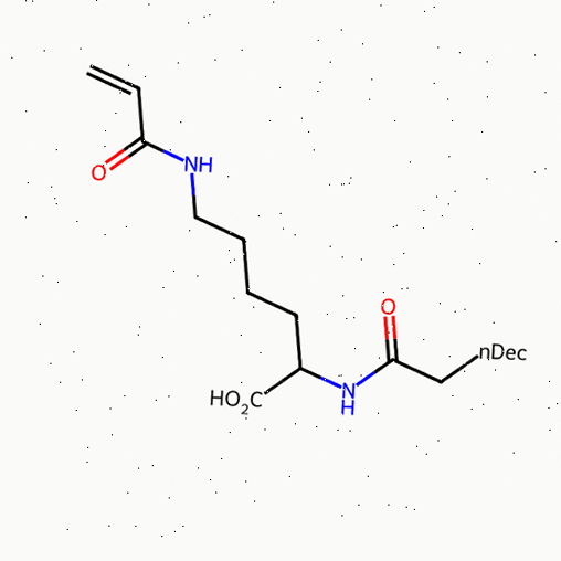 C=CC(=O)NCCCCC(NC(=O)CCCCCCCCCCC)C(=O)O